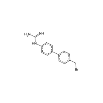 N=C(N)Nc1ccc(-c2ccc(CBr)cc2)cc1